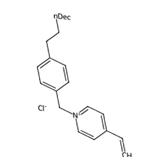 C=Cc1cc[n+](Cc2ccc(CCCCCCCCCCCC)cc2)cc1.[Cl-]